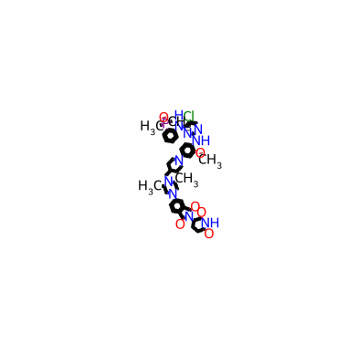 COc1cc(N2CCC(CN3C(C)CN(c4ccc5c(c4)C(=O)N(C4CCC(=O)NC4=O)C5=O)CC3C)CC2)ccc1Nc1ncc(Cl)c(Nc2ccccc2P(C)(C)=O)n1